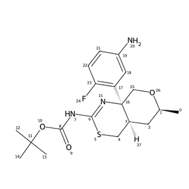 C[C@H]1C[C@H]2CSC(NC(=O)OC(C)(C)C)=N[C@@]2(c2cc(N)ccc2F)CO1